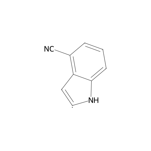 N#Cc1cccc2[nH][c]cc12